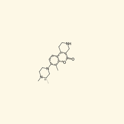 Cc1c(N2CCN(C)[C@@H](C)C2)ccc2c3c(c(=O)oc12)CNCC3